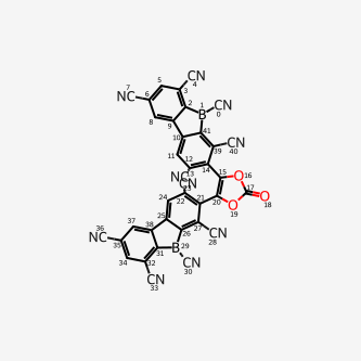 N#CB1c2c(C#N)cc(C#N)cc2-c2cc(C#N)c(-c3oc(=O)oc3-c3c(C#N)cc4c(c3C#N)B(C#N)c3c(C#N)cc(C#N)cc3-4)c(C#N)c21